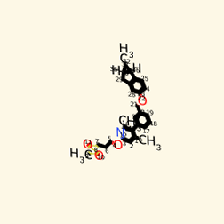 Cc1cc(OCCCS(C)(=O)=O)nc(C)c1-c1cccc(COc2ccc3c(c2)C[C@H]2[C@H](C)[C@@H]32)c1